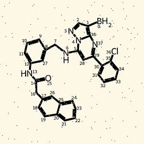 Bc1cnn2c(NCc3cccc(NC(=O)Cc4ccc5ccccc5c4)c3)cc(-c3ccccc3Cl)nc12